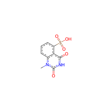 Cn1c(=O)[nH]c(=O)c2c(S(=O)(=O)O)cccc21